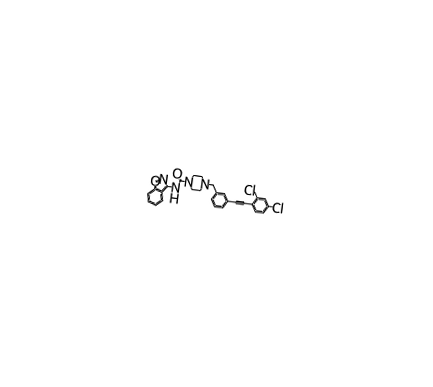 O=C(Nc1noc2ccccc12)N1CCN(Cc2cccc(C#Cc3ccc(Cl)cc3Cl)c2)CC1